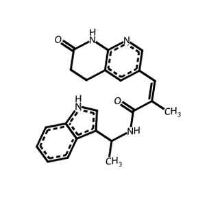 CC(=Cc1cnc2c(c1)CCC(=O)N2)C(=O)NC(C)c1c[nH]c2ccccc12